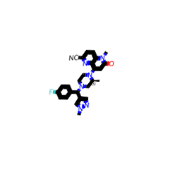 C[C@H]1CN(C(c2ccc(F)cc2)c2cnn(C)c2)CCN1c1cc(=O)n(C)c2ccc(C#N)nc12